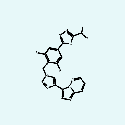 Fc1cc(-c2nnc(C(F)F)o2)cc(F)c1Cn1cc(-c2cnc3cccnn23)nn1